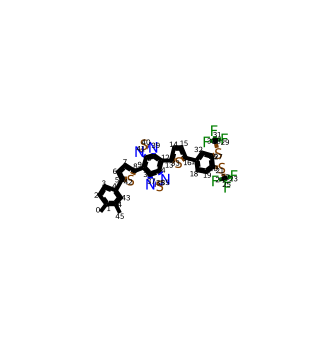 Cc1ccc(-c2ccc(-c3c4c(c(-c5ccc(-c6ccc(SC(F)(F)F)c(SC(F)(F)F)c6)s5)c5nsnc35)N=S=N4)s2)cc1C